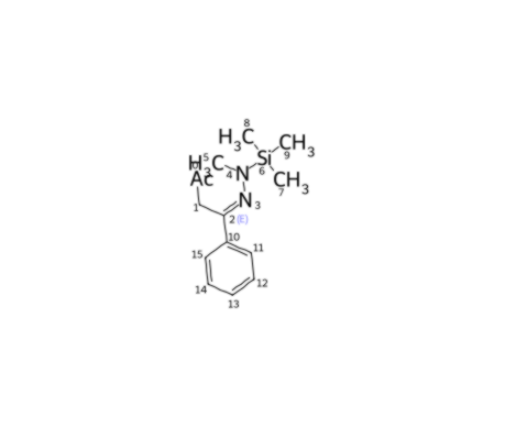 CC(=O)C/C(=N\N(C)[Si](C)(C)C)c1ccccc1